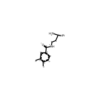 CCCC(N)CCNC(=O)c1ccc(C)c(C)c1